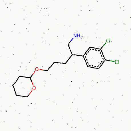 NCC(CCCOC1CCCCO1)c1ccc(Cl)c(Cl)c1